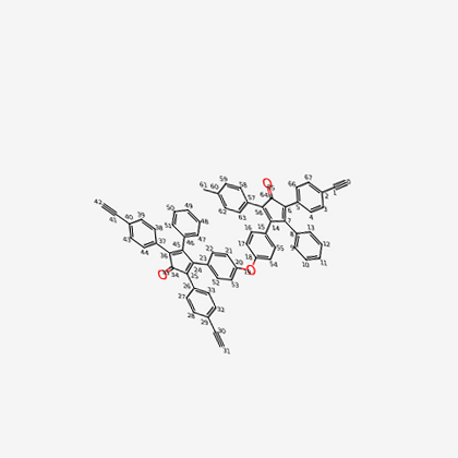 C#Cc1ccc(C2=C(c3ccccc3)C(c3ccc(Oc4ccc(C5=C(c6ccc(C#C)cc6)C(=O)C(c6ccc(C#C)cc6)=C5c5ccccc5)cc4)cc3)=C(c3ccc(C)cc3)C2=O)cc1